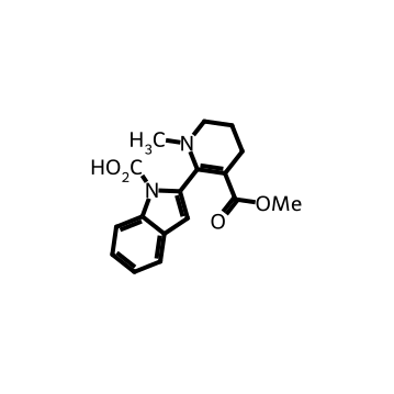 COC(=O)C1=C(c2cc3ccccc3n2C(=O)O)N(C)CCC1